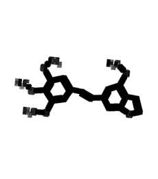 COc1cc(/C=C/c2cc(OC)c3ccoc3c2)cc(OC)c1OC